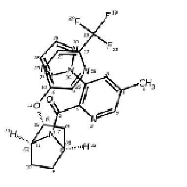 Cc1cnc(C(=O)N2[C@@H]3CC[C@H]2[C@H](Oc2cnc(C(F)(F)F)cn2)C3)c(-n2nccn2)c1